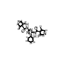 Cc1cncc(F)c1C(=O)Nc1nc(NC(=O)c2c(C)cncc2F)n(-c2ccccc2)n1